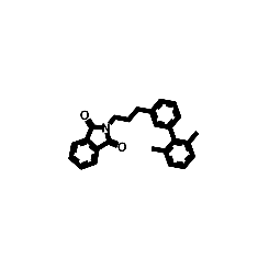 Cc1cccc(C)c1-c1cccc(CCCN2C(=O)c3ccccc3C2=O)c1